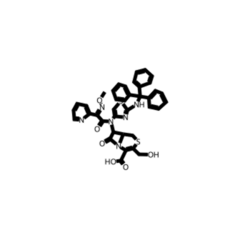 CON=C(C(=O)N(c1csc(NC(c2ccccc2)(c2ccccc2)c2ccccc2)n1)C1C(=O)N2C(C(=O)O)=C(CO)SCC12)c1ccccn1